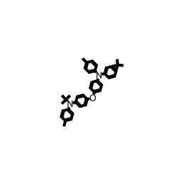 Cc1ccc(N(c2ccc(Oc3ccc(N(c4ccc(C)cc4)C(C)(C)C)cc3)cc2)c2ccc3c(c2)C3(C)C)cc1